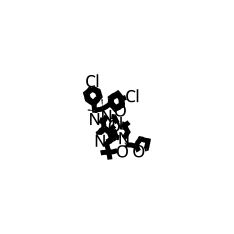 CCOc1cc(C(C)(C)C)ncc1C1=N[C@@](C)(c2ccc(Cl)cc2)[C@@](C)(c2ccc(Cl)cc2)N1C(=O)N1CCN(C(=O)C2CCCO2)CC1